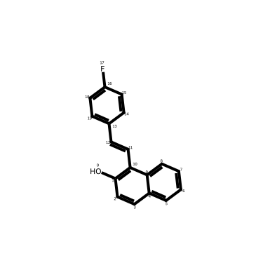 Oc1ccc2ccccc2c1C=Cc1ccc(F)cc1